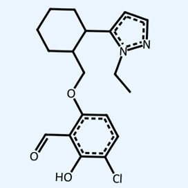 CCn1nccc1C1CCCCC1COc1ccc(Cl)c(O)c1C=O